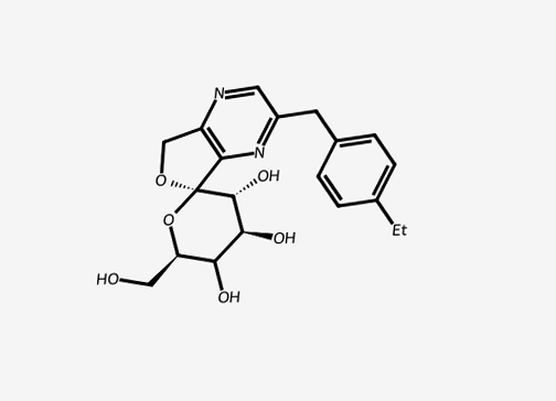 CCc1ccc(Cc2cnc3c(n2)[C@]2(OC3)O[C@H](CO)C(O)[C@H](O)[C@H]2O)cc1